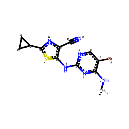 CNc1nc(Nc2sc(C3CC3)nc2C#N)ncc1Br